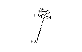 CCCCCCCCCCCCCCc1cc(C)cc(-c2ccccc2-c2c[nH]nn2)c1O